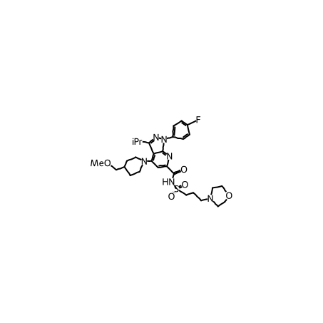 COCC1CCN(c2cc(C(=O)NS(=O)(=O)CCCN3CCOCC3)nc3c2c(C(C)C)nn3-c2ccc(F)cc2)CC1